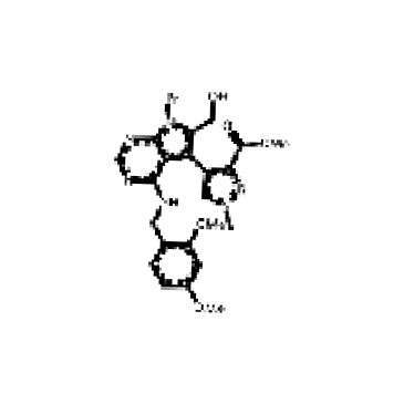 COC(=O)c1nn(C)cc1-c1c(CO)n(C(C)C)c2ncnc(NCc3ccc(OC)cc3OC)c12